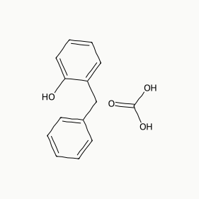 O=C(O)O.Oc1ccccc1Cc1ccccc1